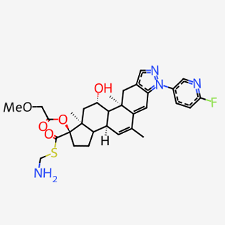 COCC(=O)O[C@]1(C(=O)SCN)CCC2[C@@H]3C=C(C)C4=Cc5c(cnn5-c5ccc(F)nc5)C[C@]4(C)C3[C@@H](O)C[C@@]21C